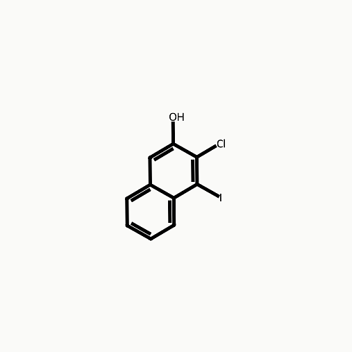 Oc1cc2ccccc2c(I)c1Cl